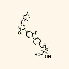 Cc1cn(CC2CN(c3ccc(-c4ccc(C5=NOC(CO)(CO)C5)cc4)c(F)c3)C(=O)O2)nn1